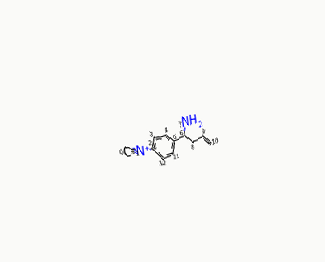 [C-]#[N+]c1ccc(C(N)CC=C)cc1